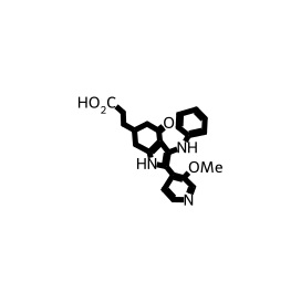 COc1cnccc1-c1[nH]c2c(c1Nc1ccccc1)C(=O)CC(CCC(=O)O)C2